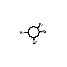 BrC1CCC(Br)C(Br)CC(Br)C1